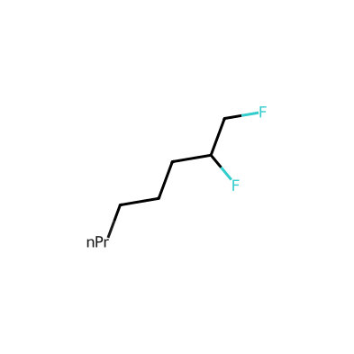 CCCCCCC(F)CF